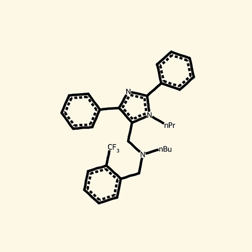 CCCCN(Cc1ccccc1C(F)(F)F)Cc1c(-c2ccccc2)nc(-c2ccccc2)n1CCC